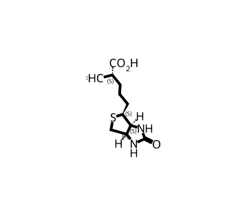 [CH][C@@H](CCC[C@@H]1SC[C@@H]2NC(=O)N[C@@H]21)C(=O)O